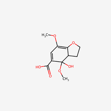 COC1=C2OCCC2C(O)(OC)C(C(=O)O)=C1